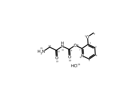 COc1cccnc1OC(=O)NC(=O)CN.Cl